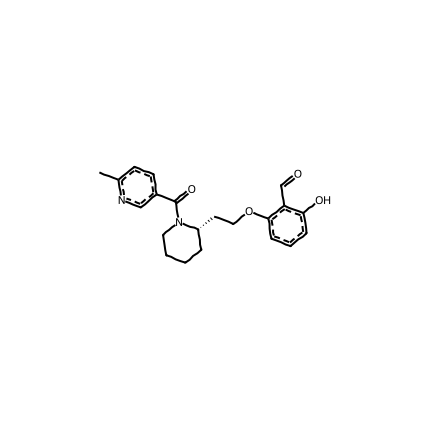 Cc1ccc(C(=O)N2CCCC[C@H]2CCOc2cccc(O)c2C=O)cn1